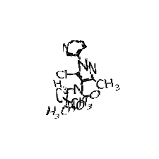 Cc1nn(-c2cccnc2)c(Cl)c1N(CC(C)(C)C)C(=O)O